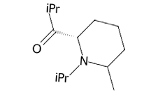 CC(C)C(=O)[C@@H]1CCCC(C)N1C(C)C